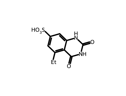 CCc1cc(S(=O)(=O)O)cc2[nH]c(=O)[nH]c(=O)c12